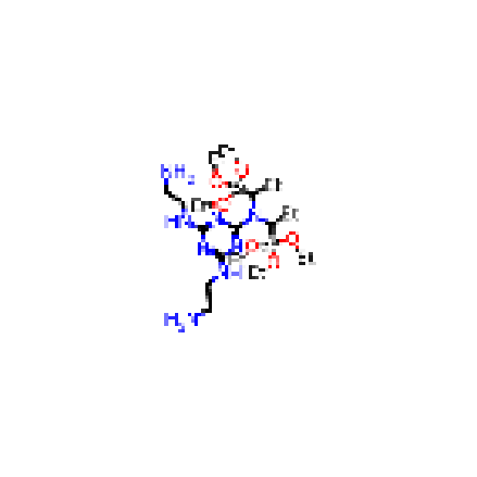 CCO[Si](OCC)(OCC)C(CC)N(c1nc(NCCN)nc(NCCN)n1)C(CC)[Si](OCC)(OCC)OCC